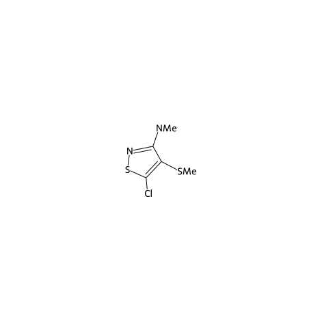 CNc1nsc(Cl)c1SC